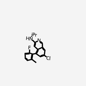 Cc1cccc(F)c1-c1cc(Cl)cc2cnc(NC(C)C)cc12